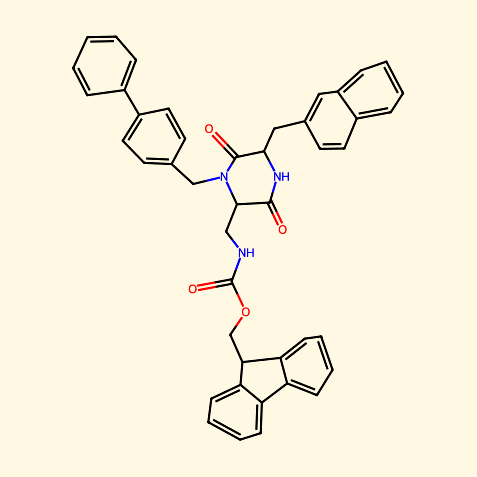 O=C(NCC1C(=O)NC(Cc2ccc3ccccc3c2)C(=O)N1Cc1ccc(-c2ccccc2)cc1)OCC1c2ccccc2-c2ccccc21